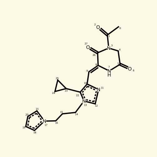 CC(=O)N1CC(=O)N/C(=C\c2ncn(CCCn3cccc3)c2C2CC2)C1=O